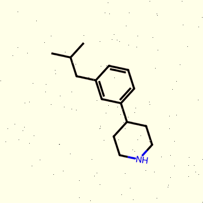 CC(C)Cc1cccc(C2CCNCC2)c1